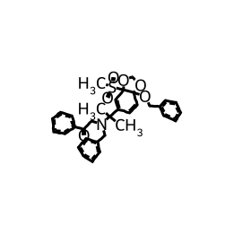 CC(C)(C1=CC2(S(C)(=O)=O)OCOC2(OCc2ccccc2)C=C1)N(CC(=O)c1ccccc1)Cc1ccccc1